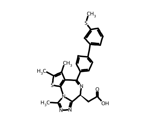 CSc1cccc(-c2ccc(C3=N[C@@H](CC(=O)O)c4nnc(C)n4-c4sc(C)c(C)c43)cc2)c1